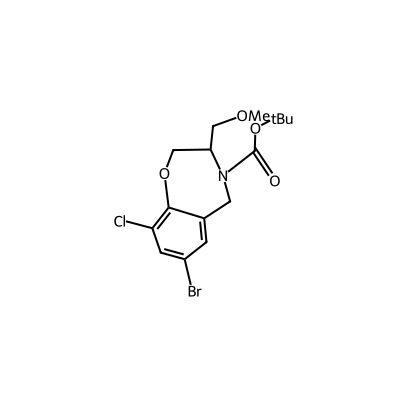 COCC1COc2c(Cl)cc(Br)cc2CN1C(=O)OC(C)(C)C